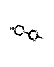 Fc1ncc(N2CCNCC2)cn1